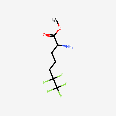 COC(=O)C(N)CCCC(F)(F)C(F)(F)F